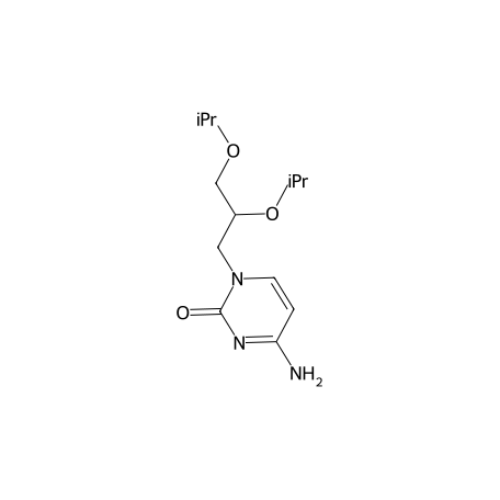 CC(C)OCC(Cn1ccc(N)nc1=O)OC(C)C